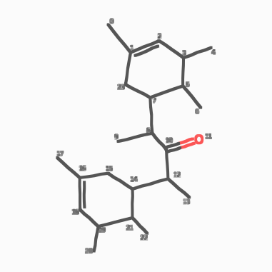 CC1=CC(C)C(C)C(C(C)C(=O)C(C)C2CC(C)=CC(C)C2C)C1